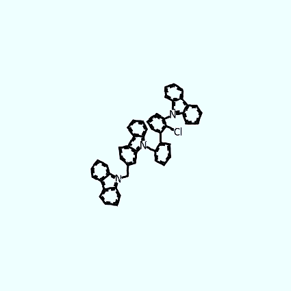 Clc1c(-c2ccccc2-n2c3ccccc3c3ccc(Cn4c5ccccc5c5ccccc54)cc32)cccc1-n1c2ccccc2c2ccccc21